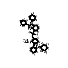 CC(C)(C)c1c(CC(C)(C)c2cccc3c2nc(-c2ccccc2)n3-c2ccccc2)ccc2c1c1ccccc1n2-c1ccccc1